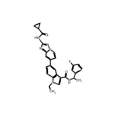 CCn1cc(C(=O)NC(C)c2cccc(F)c2)c2cc(-c3ccn4nc(NC(=O)C5CC5)nc4c3)ccc21